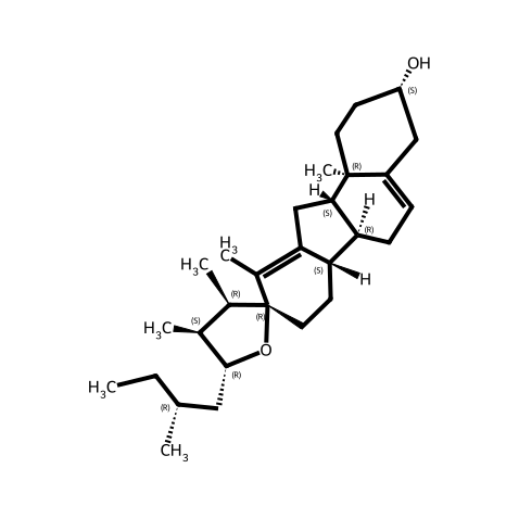 CC[C@@H](C)C[C@H]1O[C@]2(CC[C@@H]3C(=C2C)C[C@H]2[C@H]3CC=C3C[C@@H](O)CC[C@@]32C)[C@H](C)[C@@H]1C